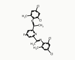 CC(=Nc1c(C)cc(Cl)cc1Cl)c1cccc(C(C)=Nc2c(C)cc(Cl)cc2Cl)n1.[Fe]